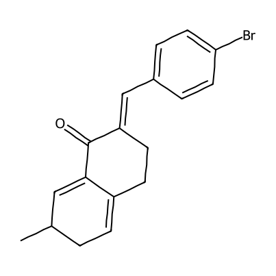 CC1C=C2C(=O)/C(=C/c3ccc(Br)cc3)CCC2=CC1